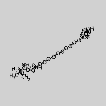 C=C(C1=Cc2ccc(-c3cccc(C(=O)NCCOCCOCCOCCOCCOCCOCCOCCOCCOCCOCCC(=O)Oc4c(F)c(F)c(S(=O)(=O)O)c(F)c4F)c3)cc2N=C(N)C1)N(CCC)OCC